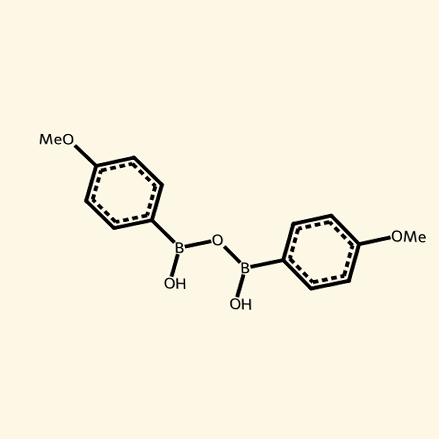 COc1ccc(B(O)OB(O)c2ccc(OC)cc2)cc1